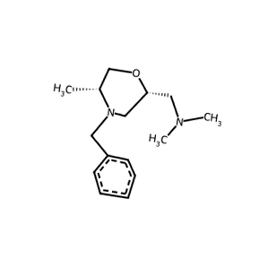 C[C@@H]1CO[C@H](CN(C)C)CN1Cc1ccccc1